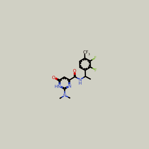 CC(NC(=O)c1cc(=O)[nH]c(N(C)C)n1)c1ccc(C(F)(F)F)c(F)c1F